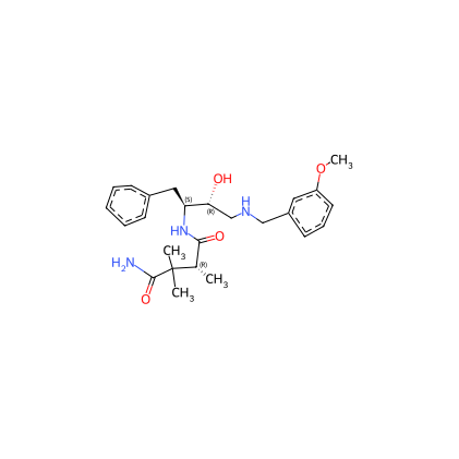 COc1cccc(CNC[C@@H](O)[C@H](Cc2ccccc2)NC(=O)[C@H](C)C(C)(C)C(N)=O)c1